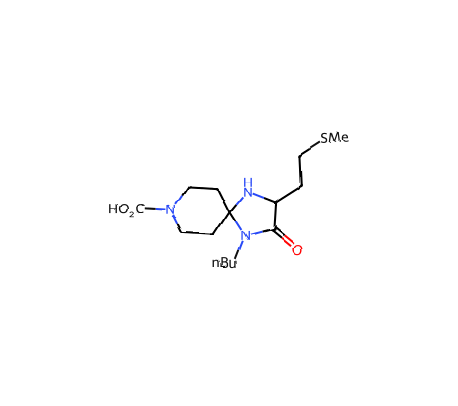 CCCCN1C(=O)C(CCSC)NC12CCN(C(=O)O)CC2